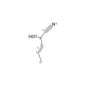 C/C=C/C(O)C#N